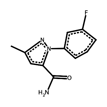 Cc1cc(C(N)=O)n(-c2cccc(F)c2)n1